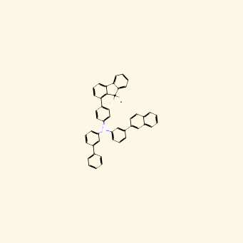 CC1(C)c2ccccc2-c2cccc(-c3ccc(N(c4cccc(-c5ccccc5)c4)c4cccc(-c5ccc6ccccc6c5)c4)cc3)c21